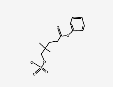 CC(C)(CCC(=O)Oc1ccccc1)COS(=O)(=O)Cl